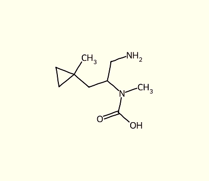 CN(C(=O)O)C(CN)CC1(C)CC1